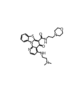 CN(C)CCNc1ccnc2c1c(=O)c(C(=O)NCCN1CCOCC1)c1sc3ccccc3n12